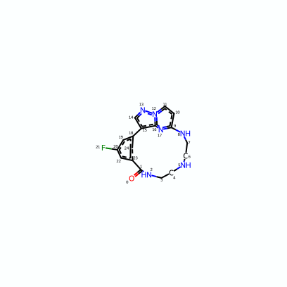 O=C1NCCNCCNc2ccn3ncc(c3n2)-c2cc(F)cc1c2